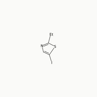 CCc1ncc(I)s1